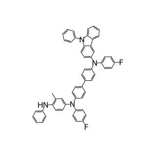 Cc1cc(N(c2ccc(F)cc2)c2ccc(-c3ccc(N(c4ccc(F)cc4)c4ccc5c(c4)c4ccccc4n5-c4ccccc4)cc3)cc2)ccc1Nc1ccccc1